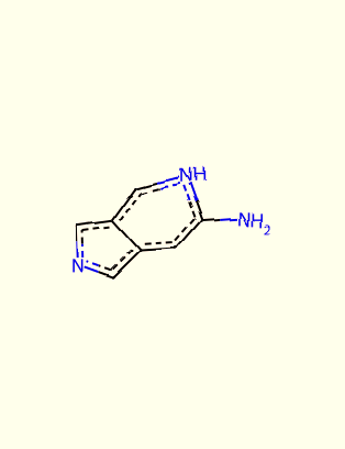 Nc1cc2cncc-2c[nH]1